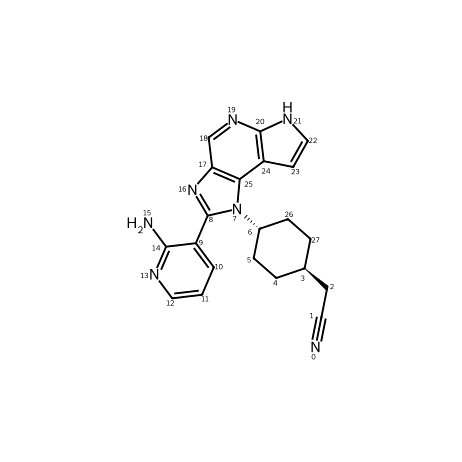 N#CC[C@H]1CC[C@H](n2c(-c3cccnc3N)nc3cnc4[nH]ccc4c32)CC1